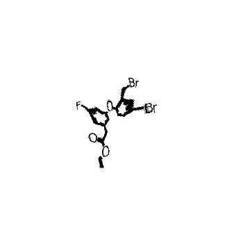 CCOC(=O)Cc1cc(F)cc(Oc2ccc(Br)cc2CBr)c1